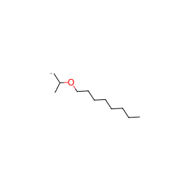 [CH2]C(C)OCCCCCCCC